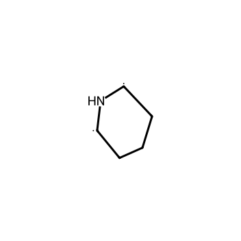 [CH]1CCC[CH]N1